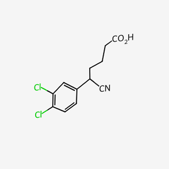 N#CC(CCCC(=O)O)c1ccc(Cl)c(Cl)c1